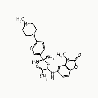 CC1=CNC(N)(c2ccc(N3CCN(C)CC3)nc2)N=C1Nc1ccc2oc(=O)n(C)c2c1